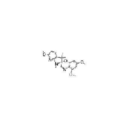 COc1cc(OC)c2c(c1)OC1(C=N2)N(C)c2nc(OC)ccc2C1(C)C